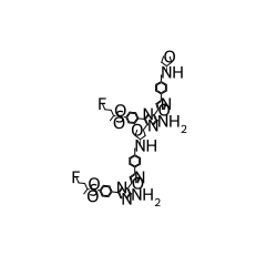 CC(CCF)S(=O)(=O)c1ccc(-c2cnc(N)c(-c3cc(-c4ccc(CN[C@H]5COC(c6nc(N)c(-c7cc(-c8ccc(CN[C@H]9CCOC9)cc8)no7)nc6-c6ccc(S(=O)(=O)C(C)CCF)cc6)C5)cc4)no3)n2)cc1